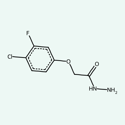 NNC(=O)COc1ccc(Cl)c(F)c1